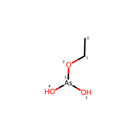 CCO[As](O)O